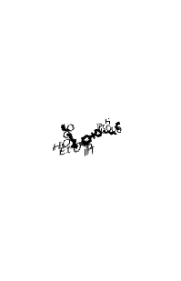 C=CC(=O)OCC(O)CC(CC)Oc1ccc(C(C)(C)c2ccc(OCC(O)CC(C)OC(=O)C=C)c(C(C)C)c2)cc1C(C)C